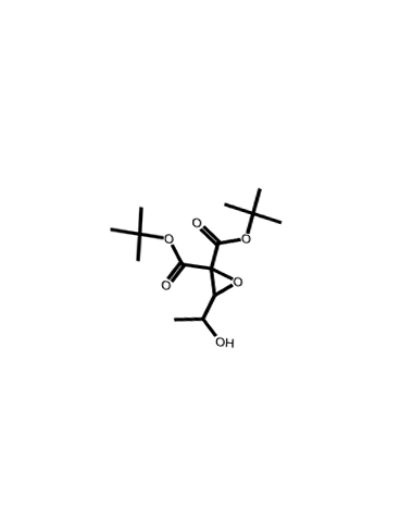 CC(O)C1OC1(C(=O)OC(C)(C)C)C(=O)OC(C)(C)C